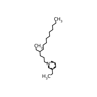 CCCCCCCCCCC(CC)CCC[n+]1cccc(CC)c1